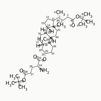 C[C@H](CCC(=O)OC(C)(C)C)C1CC[C@H]2[C@@H]3CC[C@@H]4C[C@@H](OC(=O)C(N)CCC(=O)OC(C)(C)C)CC[C@]4(C)[C@H]3CC[C@]12C